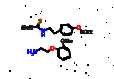 CCCCCCCCOc1ccc(CCNC(=S)NC)cc1.COc1ccccc1OCCN